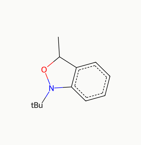 CC1ON(C(C)(C)C)c2ccccc21